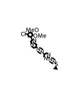 COc1cc(OC)c(-c2cn3ccc(N4CCN(c5cnc(N6CCN(SC7CC7)CC6)nc5)CC4)cc3n2)cc1Cl